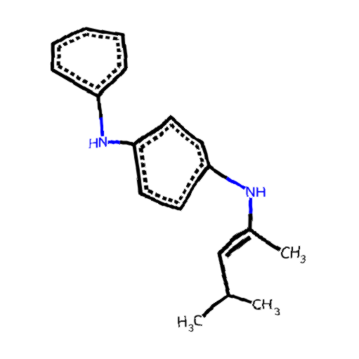 CC(=CC(C)C)Nc1ccc(Nc2ccccc2)cc1